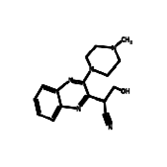 CN1CCN(c2nc3ccccc3nc2C(C#N)CO)CC1